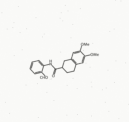 COc1cc2c(cc1OC)CC(C(=O)Nc1ccccc1C=O)CC2